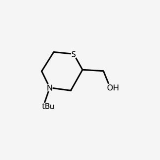 CC(C)(C)N1CCSC(CO)C1